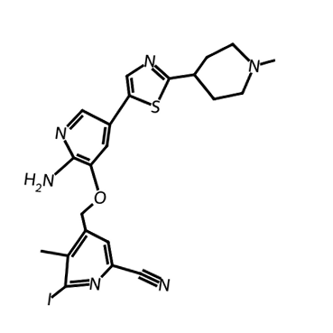 Cc1c(COc2cc(-c3cnc(C4CCN(C)CC4)s3)cnc2N)cc(C#N)nc1I